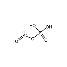 O=[PH2]OP(=O)(O)O